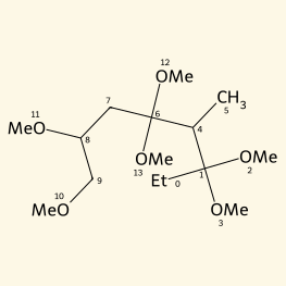 CCC(OC)(OC)C(C)C(CC(COC)OC)(OC)OC